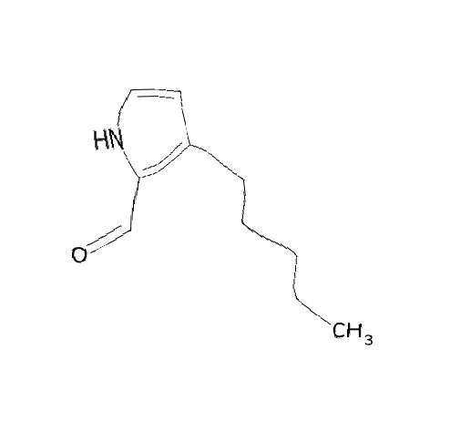 CCCCCc1cc[nH]c1C=O